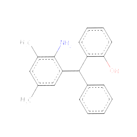 Cc1cc(C)c(N)c(C(c2ccccc2)c2ccccc2O)c1